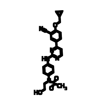 CS(=O)(=O)N(CCO)c1ccc(Nc2nccc(-c3ccc(OCC4CC4)c(C#N)c3)n2)cc1